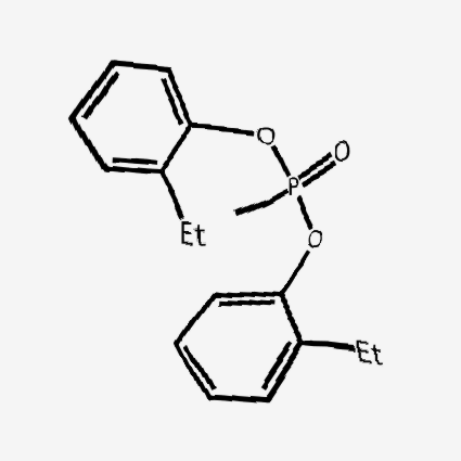 CCc1ccccc1OP(C)(=O)Oc1ccccc1CC